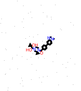 Cn1cnc2cc(-c3ccc(C(=O)N4CCN(C(O)C5(O)CC5)CC45CC5)cc3)ccc21